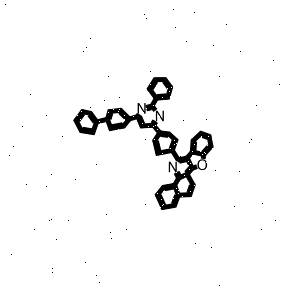 c1ccc(-c2ccc(-c3cc(-c4ccc(-c5nc6c7ccccc7ccc6c6oc7ccccc7c56)cc4)nc(-c4ccccc4)n3)cc2)cc1